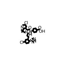 CC1(C)CN(C(=O)C=Cc2cc(Cl)ccc2-n2cnnn2)C(C(=O)Nc2ccc(C(=O)O)cc2)c2cc(Cl)cnc21